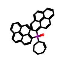 O=P(c1ccc2ccc3cccc4ccc1c2c34)(c1ccc2ccc3cccc4ccc1c2c34)C1C=CCCCC1